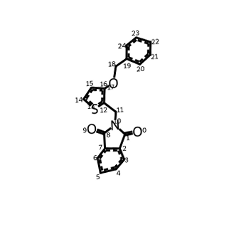 O=C1c2ccccc2C(=O)N1Cc1sccc1OCc1ccccc1